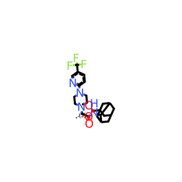 COC(=O)C12CC3CC(C1)C(NC(=O)[C@H](C)N1CCN(c4ccc(C(F)(F)F)cn4)CC1)C(C3)C2